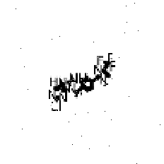 C[C@H](c1ccc(-c2nc(C(F)(F)F)cn2C)cc1)n1c(=N)[nH]c2cnc(Cl)nc21